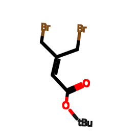 CC(C)(C)OC(=O)C=C(CBr)CBr